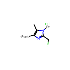 CCCCCc1nc(CCl)n(CC)c1C.Cl